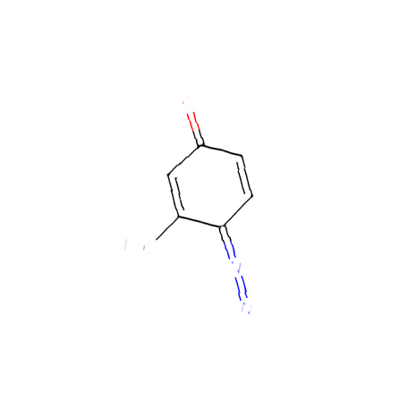 CC1=CC(=O)C=CC1=[N+]=[N-]